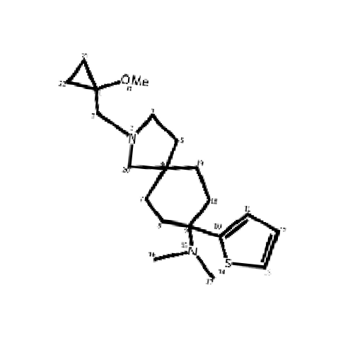 COC1(CN2CCC3(CCC(c4cccs4)(N(C)C)CC3)C2)CC1